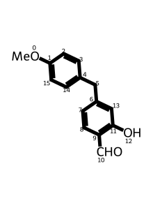 COc1ccc(Cc2ccc(C=O)c(O)c2)cc1